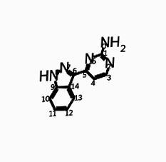 Nc1nccc(-c2n[nH]c3ccccc23)n1